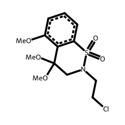 COc1cccc2c1C(OC)(OC)CN(CCCl)S2(=O)=O